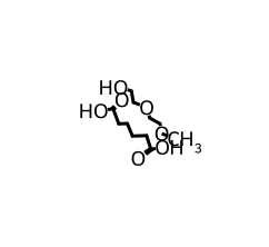 COCCOCCO.O=C(O)CCCCC(=O)O